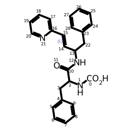 O=C(O)NC(Cc1ccccc1)C(=O)NC(/C=C/c1ccccn1)Cc1ccccc1